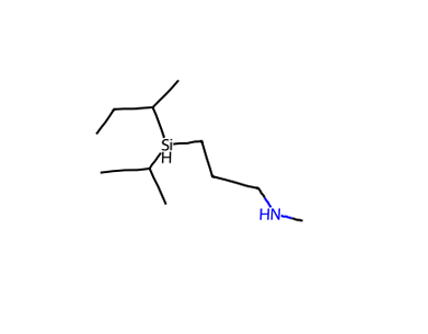 CCC(C)[SiH](CCCNC)C(C)C